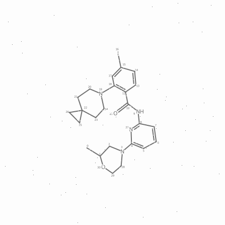 CC1CN(c2cccc(NC(=O)c3ccc(I)cc3N3CCC4(CC3)CC4)n2)CCO1